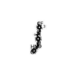 C/C(=N\OCc1ccc(C(F)(F)F)cc1)c1ccc(OCC(=O)NCC2CCOCC2)cc1